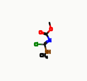 C.COC(=O)N=C(S)Cl